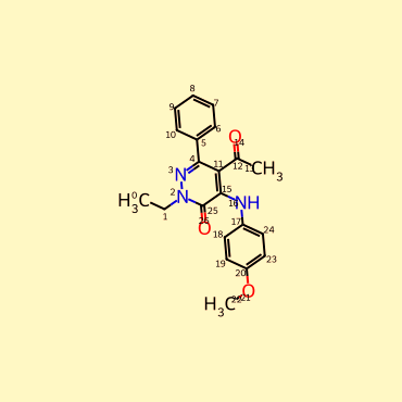 CCn1nc(-c2ccccc2)c(C(C)=O)c(Nc2ccc(OC)cc2)c1=O